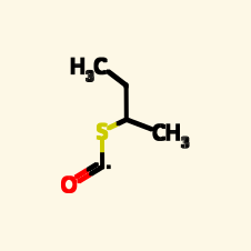 CCC(C)S[C]=O